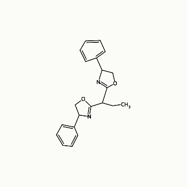 CCC(C1=NC(c2ccccc2)CO1)C1=NC(c2ccccc2)CO1